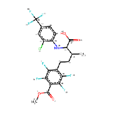 COC(=O)c1c(F)c(F)c(CCC(C)C(Nc2ccc(C(F)(F)F)cc2Cl)C(=O)O)c(F)c1F